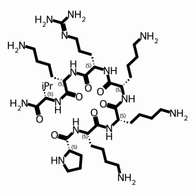 CC(C)[C@H](NC(=O)[C@H](CCCCN)NC(=O)[C@H](CCCN=C(N)N)NC(=O)[C@H](CCCCN)NC(=O)[C@H](CCCCN)NC(=O)[C@H](CCCCN)NC(=O)[C@@H]1CCCN1)C(N)=O